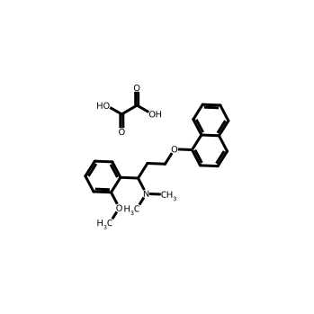 COc1ccccc1C(CCOc1cccc2ccccc12)N(C)C.O=C(O)C(=O)O